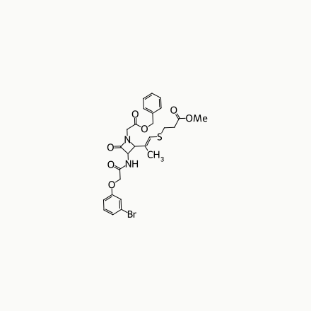 COC(=O)CCSC=C(C)C1C(NC(=O)COc2cccc(Br)c2)C(=O)N1CC(=O)OCc1ccccc1